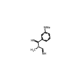 CNc1cccc(C(=N)N(C)C=N)c1